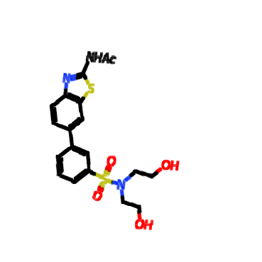 CC(=O)Nc1nc2ccc(-c3cccc(S(=O)(=O)N(CCO)CCO)c3)cc2s1